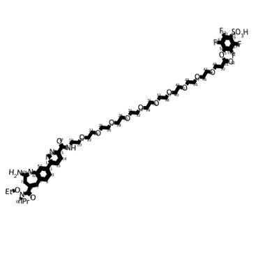 CCCN(OCC)C(=O)C1=Cc2ccc(-c3ccc(C(=O)NCCOCCOCCOCCOCCOCCOCCOCCOCCOCCOCCC(=O)Oc4c(F)c(F)c(S(=O)(=O)O)c(F)c4F)nn3)cc2N=C(N)C1